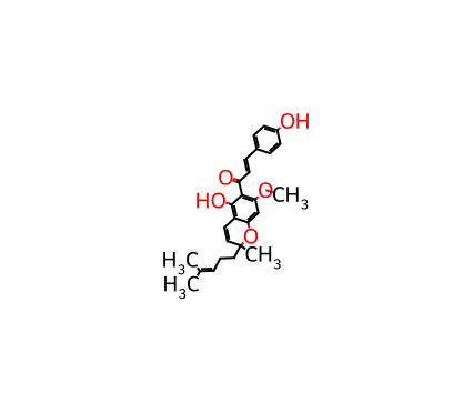 COc1cc2c(c(O)c1C(=O)/C=C/c1ccc(O)cc1)C=CC(C)(CCC=C(C)C)O2